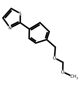 COCOCc1ccc(-c2nccs2)cc1